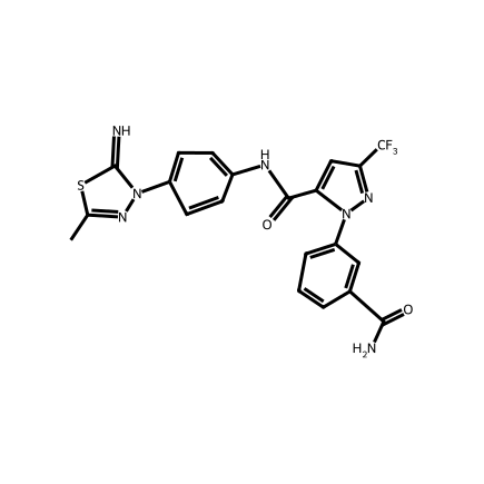 Cc1nn(-c2ccc(NC(=O)c3cc(C(F)(F)F)nn3-c3cccc(C(N)=O)c3)cc2)c(=N)s1